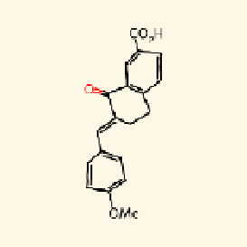 COc1ccc(/C=C2\CCc3ccc(C(=O)O)cc3C2=O)cc1